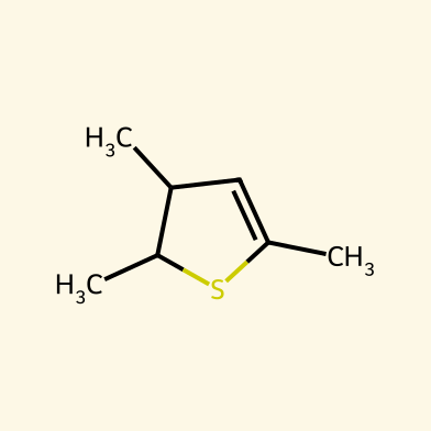 CC1=CC(C)C(C)S1